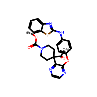 COC(=O)C1(c2nccnc2Oc2ccc(Nc3nc4ccccc4s3)cc2)CCN(C(=O)OC(C)(C)C)CC1